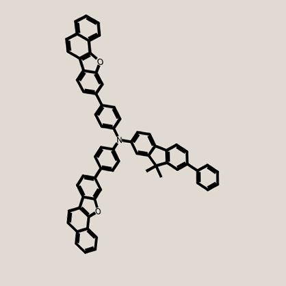 CC1(C)c2cc(-c3ccccc3)ccc2-c2ccc(N(c3ccc(-c4ccc5c(c4)oc4c6ccccc6ccc54)cc3)c3ccc(-c4ccc5c(c4)oc4c6ccccc6ccc54)cc3)cc21